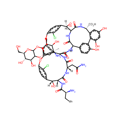 CC(C)C[C@H](N)C(=O)N[C@H]1C(=O)N[C@@H](CC(N)=O)C(=O)N[C@H]2C(=O)N[C@H]3C(=O)N[C@H](C(=O)N[C@H](C(=O)O)c4cc(O)cc(O)c4-c4cc3ccc4O)[C@H](O)c3ccc(c(Cl)c3)Oc3cc2cc(c3OC2O[C@H](CO)[C@@H](O)[C@H](O)C2O[C@H]2C[C@](C)(N)[C@H](O)[C@H](C)O2)Oc2ccc(cc2Cl)[C@H]1O